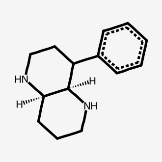 c1ccc(C2CCN[C@@H]3CCCN[C@H]23)cc1